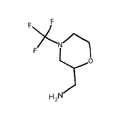 NCC1CN(C(F)(F)F)CCO1